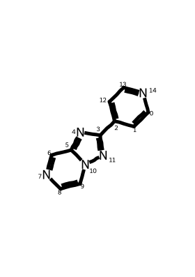 c1cc(-c2nc3cnccn3n2)ccn1